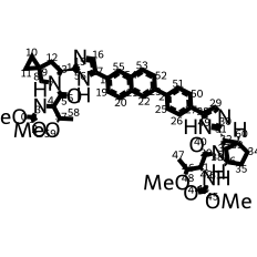 COC(=O)NC(C(=O)N1CC2(CC2)C[C@H]1c1ncc(-c2ccc3cc(-c4ccc(-c5cnc([C@@H]6[C@H]7CC[C@H](C7)N6C(=O)[C@@H](NC(=O)OC)C(C)OC)[nH]5)cc4)ccc3c2)[nH]1)[C@H](C)OC